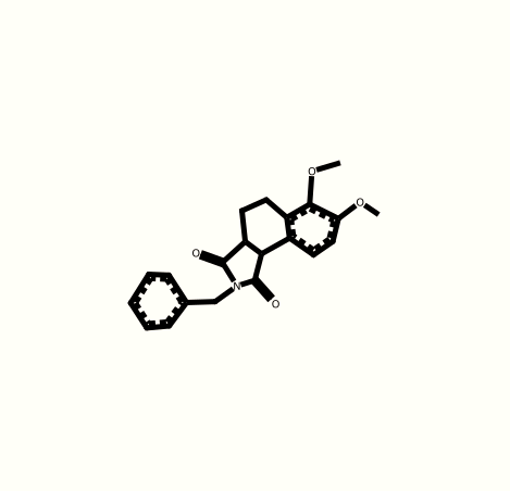 COc1ccc2c(c1OC)CCC1C(=O)N(Cc3ccccc3)C(=O)C21